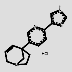 C1=CC2(c3ccc(-c4c[nH]cn4)nc3)CCN(C1)C2.Cl